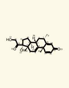 C[C@H]1C[C@@H]2C(=CC[C@@]3(C)[C@H]2CC[C@]3(O)C(=O)CO)[C@@]2(C)C=CC(=O)C=C12